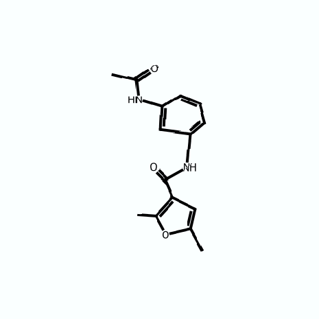 CC(=O)Nc1cccc(NC(=O)c2cc(C)oc2C)c1